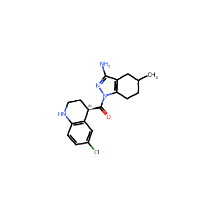 CC1CCc2c(c(N)nn2C(=O)[C@@H]2CCNc3ccc(Cl)cc32)C1